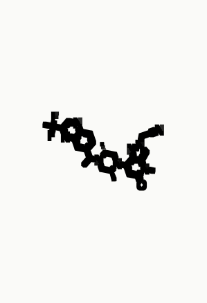 CC(c1ccc2ncc(C(C)(F)F)nc2c1)N1C[C@H](C)N(c2cc(=O)n(C)c3cn(CC#N)nc23)C[C@H]1C